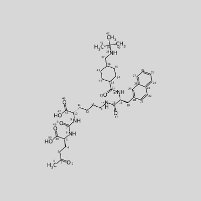 CC(=O)CC[C@H](NC(=O)N[C@@H](CCCCNC(=O)[C@H](Cc1ccc2ccccc2c1)NC(=O)C1CCC(CNC(C)(C)C)CC1)C(=O)O)C(=O)O